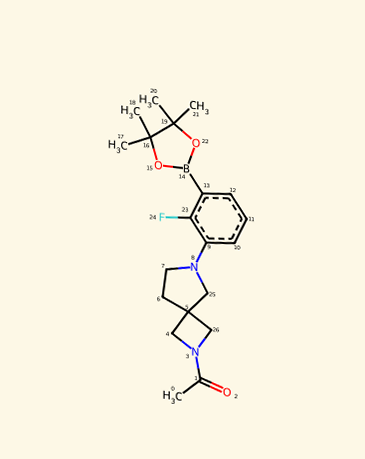 CC(=O)N1CC2(CCN(c3cccc(B4OC(C)(C)C(C)(C)O4)c3F)C2)C1